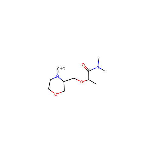 CC(OCC1COCCN1C=O)C(=O)N(C)C